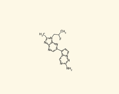 Cc1nc2ncc(-c3ccn4nc(N)ncc34)nc2n1CC(C)F